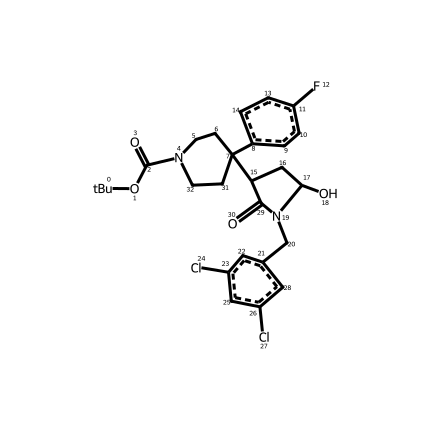 CC(C)(C)OC(=O)N1CCC(c2ccc(F)cc2)(C2CC(O)N(Cc3cc(Cl)cc(Cl)c3)C2=O)CC1